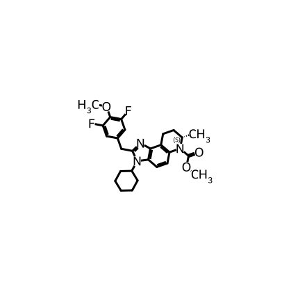 COC(=O)N1c2ccc3c(nc(Cc4cc(F)c(OC)c(F)c4)n3C3CCCCC3)c2CC[C@@H]1C